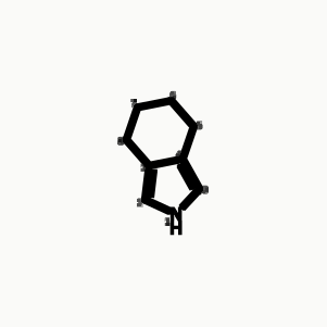 [c]1[nH]cc2c1CCCC2